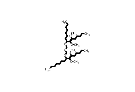 CCCCCCCC(OCOCOC(CCCCCCC)C(OC)=C(CCCCC)OC)C(OC)=C(CCCCC)OC